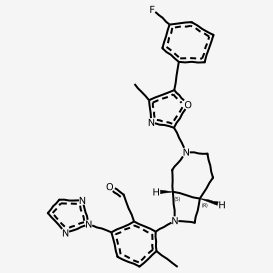 Cc1ccc(-n2nccn2)c(C=O)c1N1C[C@H]2CCN(c3nc(C)c(-c4cccc(F)c4)o3)C[C@H]21